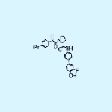 CC(C)c1ccc(NC(=O)N2CCC[C@@H]2C(=O)Nc2ccc(-c3ccc(O)c(F)c3)cc2)cc1